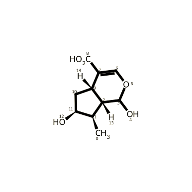 C[C@@H]1[C@H]2C(O)OC=C(C(=O)O)[C@H]2C[C@@H]1O